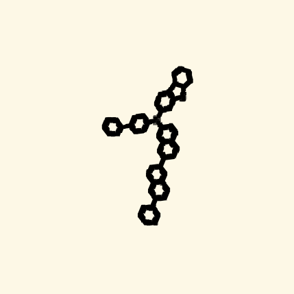 C1=CC2Sc3cc(N(c4ccc(-c5ccccc5)cc4)c4ccc5ccc(-c6ccc7cc(-c8ccccc8)ccc7c6)cc5c4)ccc3C2C=C1